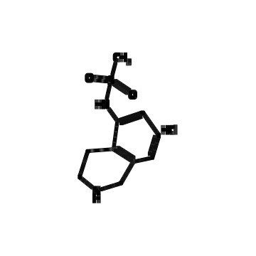 CS(=O)(=O)Nc1cccc2c1CCNC2.Cl